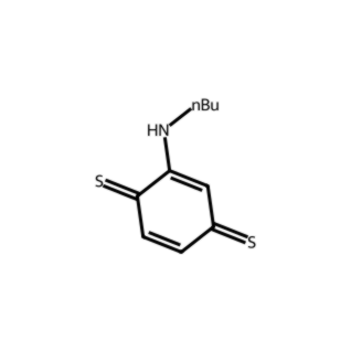 CCCCNC1=CC(=S)C=CC1=S